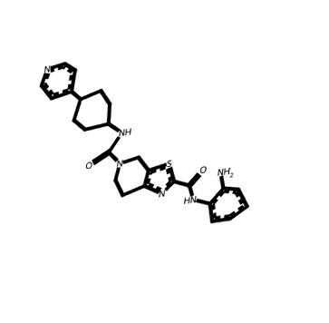 Nc1ccccc1NC(=O)c1nc2c(s1)CN(C(=O)NC1CCC(c3ccncc3)CC1)CC2